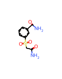 NC(=O)CS(=O)(=O)c1cccc(C(N)=O)c1